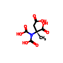 C[C@](CC(=O)O)(C(=O)O)N(C(=O)O)C(=O)O